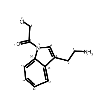 NCCc1cn(C(=O)CCl)c2ccccc12